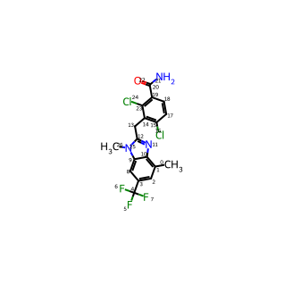 Cc1cc(C(F)(F)F)cc2c1nc(Cc1c(Cl)ccc(C(N)=O)c1Cl)n2C